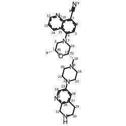 C[C@@H]1CN(c2ccc(C#N)c3ncccc23)C[C@H](CN2CCN(c3cnc4c(c3)CCNC4)CC2)O1